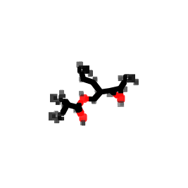 C=C(C)C(=O)OCC(CCC)C1OC1C